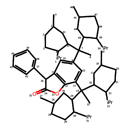 CC1CCC(C(C)C)C(C(C)(c2cc3c(c(C(C)(C4CC(C)CCC4C(C)C)C4CC(C)CCC4C(C)C)c2)OC(=O)C3c2ccccc2)C2CC(C)CCC2C(C)C)C1